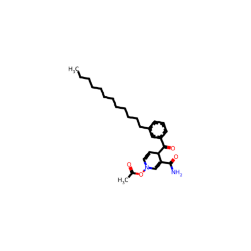 CCCCCCCCCCCCc1cccc(C(=O)C2C=CN(OC(C)=O)C=C2C(N)=O)c1